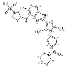 CCS(=O)(=O)N1CCC(Nc2c(Br)cnc3[nH]c(-c4cc(C)n(-c5ccc(C(=O)N6CCOCC6)cc5)c4C)nc23)C1